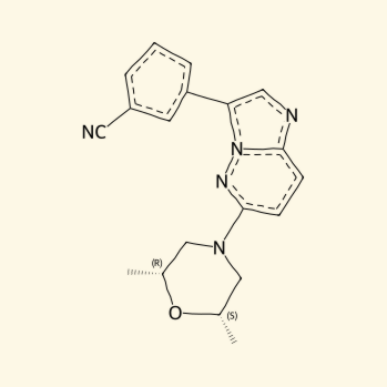 C[C@@H]1CN(c2ccc3ncc(-c4cccc(C#N)c4)n3n2)C[C@H](C)O1